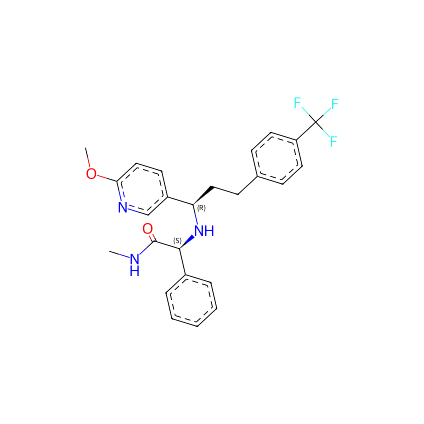 CNC(=O)[C@@H](N[C@H](CCc1ccc(C(F)(F)F)cc1)c1ccc(OC)nc1)c1ccccc1